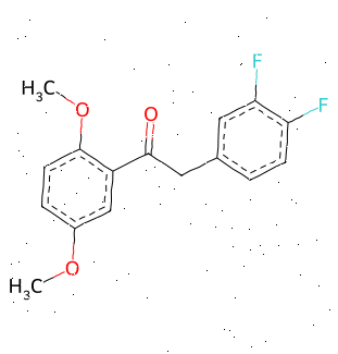 COc1ccc(OC)c(C(=O)Cc2ccc(F)c(F)c2)c1